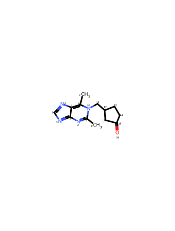 Cc1nc2ncnc-2c(C)n1CC1CCC(=O)C1